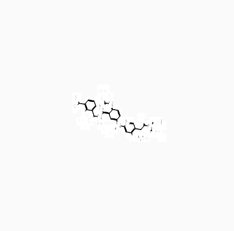 COc1cc(N(C)c2ccc3nc(C)nc(N[C@H](C)c4cccc(C(F)F)c4F)c3c2)ncc1CC(=O)N(C)C